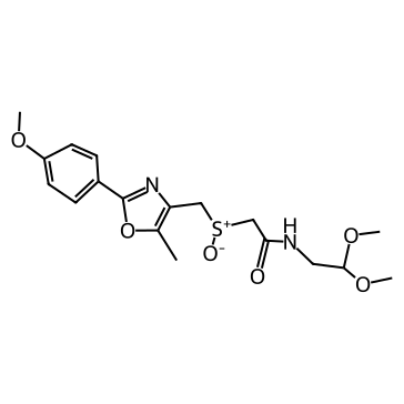 COc1ccc(-c2nc(C[S+]([O-])CC(=O)NCC(OC)OC)c(C)o2)cc1